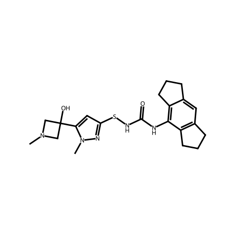 CN1CC(O)(c2cc(SNC(=O)Nc3c4c(cc5c3CCC5)CCC4)nn2C)C1